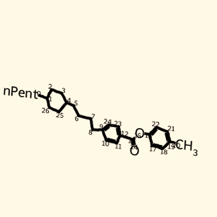 CCCCCC1CCC(CCCCc2ccc(C(=O)Oc3ccc(C)cc3)cc2)CC1